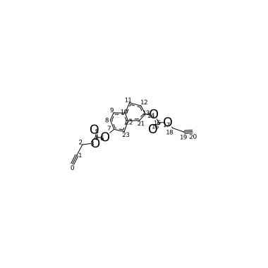 C#CCOC(=O)Oc1ccc2ccc(OC(=O)OCC#C)cc2c1